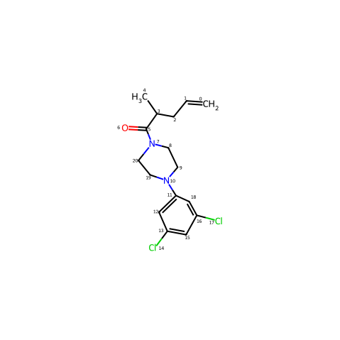 C=CCC(C)C(=O)N1CCN(c2cc(Cl)cc(Cl)c2)CC1